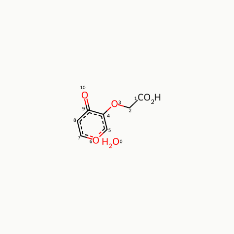 O.O=C(O)COc1coccc1=O